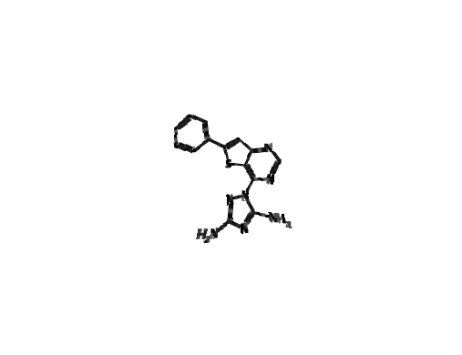 Nc1nc(N)n(-c2ncnc3cc(-c4ccccc4)sc23)n1